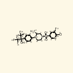 CC1CN(S(=O)(=O)c2cnc(Cl)c(F)c2)CCN1c1ccc(C(O)(C(F)(F)F)C(F)(F)F)cc1